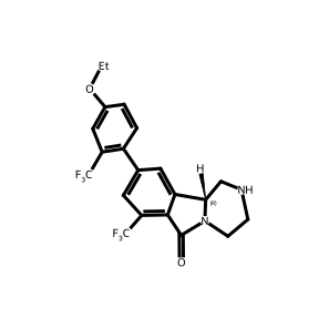 CCOc1ccc(-c2cc3c(c(C(F)(F)F)c2)C(=O)N2CCNC[C@@H]32)c(C(F)(F)F)c1